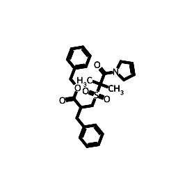 CC(C)(C(=O)N1CC=CC1)S(=O)(=O)CC(Cc1ccccc1)C(=O)OCc1ccccc1